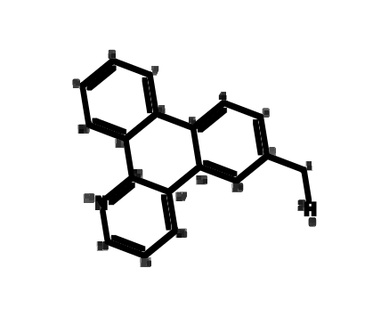 [2H]Cc1ccc2c3ccccc3c3ncccc3c2c1